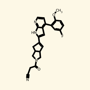 COc1ccc(F)cc1-c1ccnc2[nH]c(C3=CC4CN(C(=O)CC#N)CC4C3)cc12